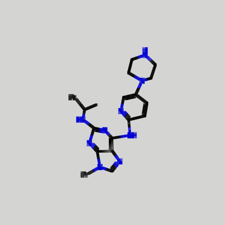 CC(C)C(C)Nc1nc(Nc2ccc(N3CCNCC3)cn2)c2ncn(C(C)C)c2n1